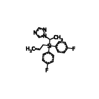 C=CC[Si](c1ccc(F)cc1)(c1ccc(F)cc1)C(C)n1cncn1